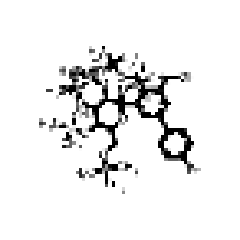 CCc1ccc(-c2cc(CO)c(COC(C)(C)OC)c(C3(O[Si](C)(C)C)OC(CO[Si](C)(C)C)C(O[Si](C)(C)C)C(O[Si](C)(C)C)C3O[Si](C)(C)C)c2)cc1